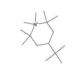 CC(C)(C)C1CC(C)(C)[N+](C)(C)C(C)(C)C1